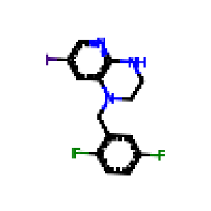 Fc1ccc(F)c(CN2CCNc3ncc(I)cc32)c1